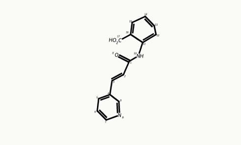 O=C(/C=C/c1cccnc1)Nc1ccccc1C(=O)O